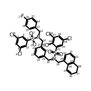 O=S(=O)(c1cc(Cl)cc(Cl)c1)N(Cc1ccc(F)cc1)Cc1cccc(CN(Cc2cccc3c2C=CCC3)S(=O)(=O)c2cc(Cl)cc(Cl)c2O)c1